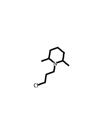 CC1CCCC(C)N1CCCCl